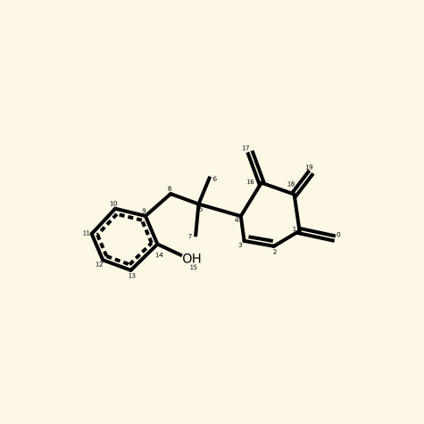 C=C1C=CC(C(C)(C)Cc2ccccc2O)C(=C)C1=C